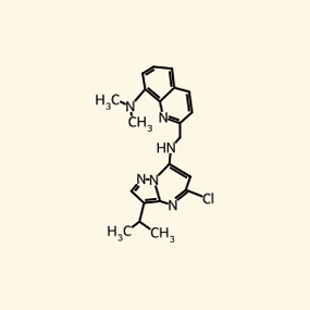 CC(C)c1cnn2c(NCc3ccc4cccc(N(C)C)c4n3)cc(Cl)nc12